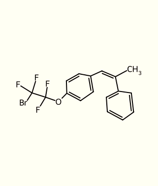 CC(=Cc1ccc(OC(F)(F)C(F)(F)Br)cc1)c1ccccc1